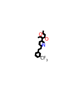 Cc1cc(=O)c(-c2ccc(CCc3cccc(C(F)(F)F)c3)nc2)c(C)o1